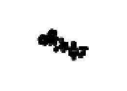 CC[C@H]1O[C@@H](n2cc(C)c(/N=C\N(C)C)nc2=O)C[C@H]1O[P@]1O[C@@](C)(c2ccccc2)[C@H]2CCCN21